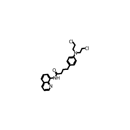 O=C(CCCc1ccc(N(CCCl)CCCl)cc1)Nc1cccc2cccnc12